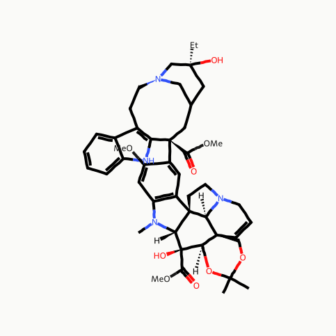 CC[C@]1(O)CC2C[N@@](CCc3c([nH]c4ccccc34)[C@@](C(=O)OC)(c3cc4c(cc3OC)N(C)[C@H]3[C@@](O)(C(=O)OC)[C@@H]5OC(C)(C)OC[C@]56C=CCN5CC[C@]43[C@@H]56)C2)C1